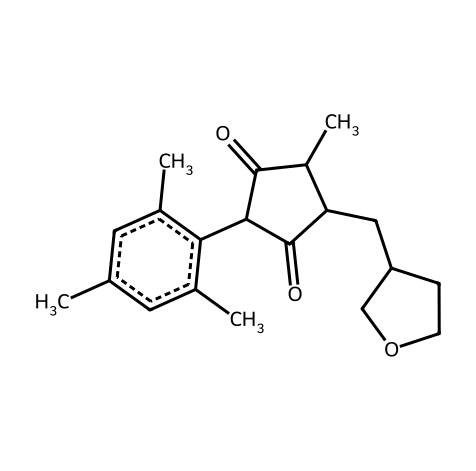 Cc1cc(C)c(C2C(=O)C(C)C(CC3CCOC3)C2=O)c(C)c1